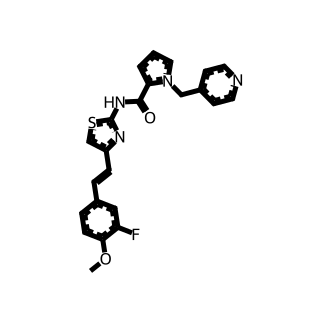 COc1ccc(C=Cc2csc(NC(=O)c3cccn3Cc3ccncc3)n2)cc1F